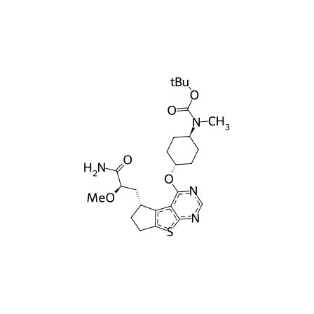 CO[C@H](C[C@H]1CCc2sc3ncnc(O[C@H]4CC[C@H](N(C)C(=O)OC(C)(C)C)CC4)c3c21)C(N)=O